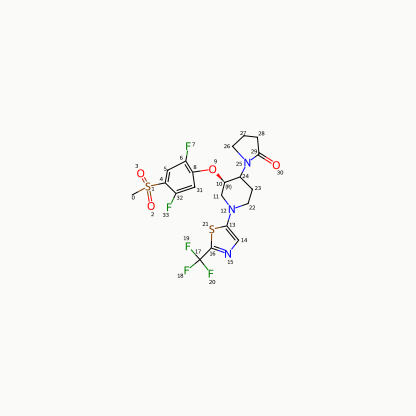 CS(=O)(=O)c1cc(F)c(O[C@@H]2CN(c3cnc(C(F)(F)F)s3)CCC2N2CCCC2=O)cc1F